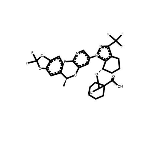 C[C@H](Oc1cc(-n2nc(C(F)(F)F)c3c2[C@@H](OC2CC4CCC2(C(=O)O)CC4)CCC3)cnc1F)c1ccc2c(c1)OC(F)(F)O2